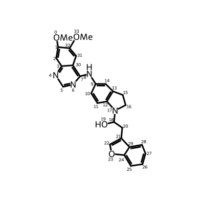 COc1cc2ncnc(Nc3ccc4c(c3)CCN4C(O)Cc3coc4ccccc34)c2cc1OC